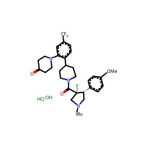 COc1ccc([C@@H]2CN(C(C)(C)C)C[C@@]2(F)C(=O)N2CCC(c3ccc(C(F)(F)F)cc3N3CCC(=O)CC3)CC2)cc1.Cl.Cl